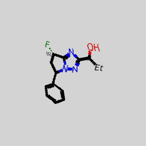 CCC(O)c1nc2n(n1)C(c1ccccc1)C[C@@H]2F